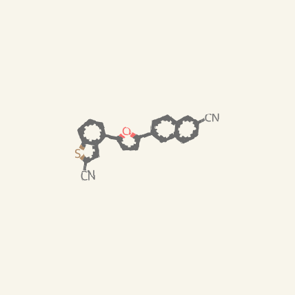 N#Cc1ccc2cc(-c3ccc(-c4cccc5sc(C#N)cc45)o3)ccc2c1